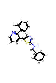 Cc1ccccc1-c1ncccc1-c1cnc(NCc2ccccc2)s1